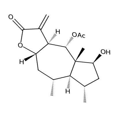 C=C1C(=O)O[C@H]2C[C@@H](C)[C@@H]3[C@@H](C)C[C@H](O)[C@@]3(C)[C@@H](OC(C)=O)[C@H]12